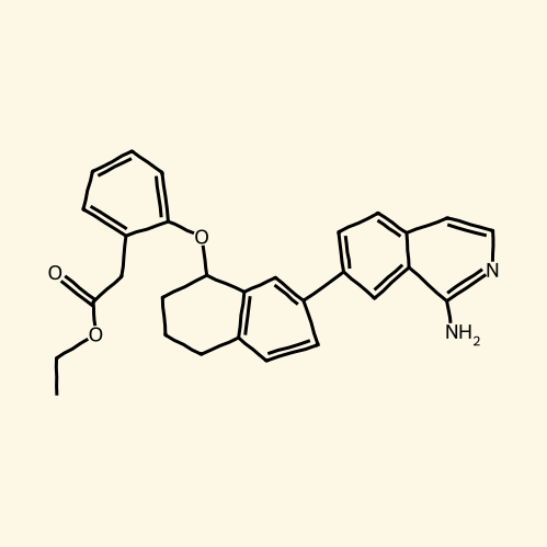 CCOC(=O)Cc1ccccc1OC1CCCc2ccc(-c3ccc4ccnc(N)c4c3)cc21